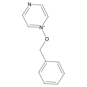 c1ccc(CO[n+]2ccncc2)cc1